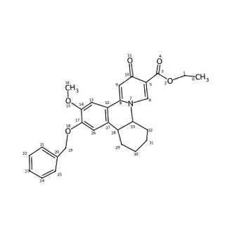 CCOC(=O)c1cn2c(cc1=O)-c1cc(OC)c(OCc3ccccc3)cc1C1CCCCC12